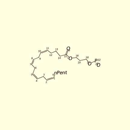 CCCCC/C=C\C/C=C\C/C=C\C/C=C\CCCC(=O)OCCCOP=O